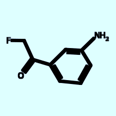 Nc1cccc(C(=O)CF)c1